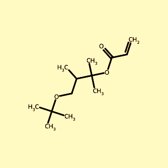 C=CC(=O)OC(C)(C)C(C)COC(C)(C)C